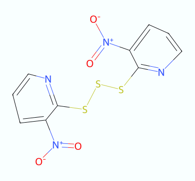 O=[N+]([O-])c1cccnc1SSSc1ncccc1[N+](=O)[O-]